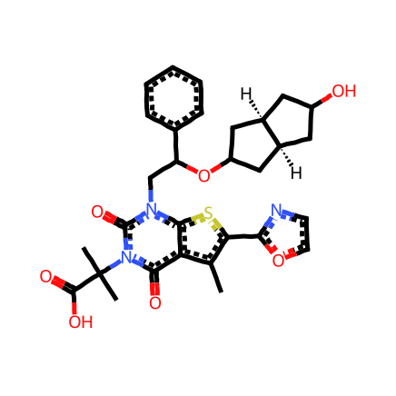 Cc1c(-c2ncco2)sc2c1c(=O)n(C(C)(C)C(=O)O)c(=O)n2CC(OC1C[C@H]2CC(O)C[C@H]2C1)c1ccccc1